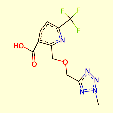 Cn1nnc(COCc2nc(C(F)(F)F)ccc2C(=O)O)n1